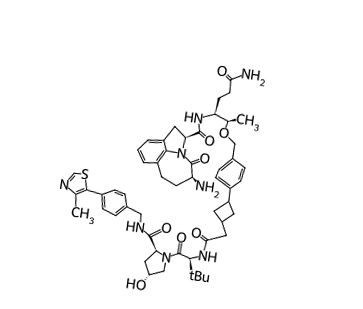 Cc1ncsc1-c1ccc(CNC(=O)[C@@H]2C[C@@H](O)CN2C(=O)[C@@H](NC(=O)CC2CC(c3ccc(CO[C@H](C)[C@H](CCC(N)=O)NC(=O)[C@@H]4Cc5cccc6c5N4C(=O)[C@@H](N)CC6)cc3)C2)C(C)(C)C)cc1